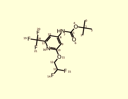 CC(C)(C)OC(=O)Nc1cc(OCC(F)F)nc(C(F)(F)F)c1